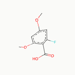 COc1cc(F)c(C(=O)O)c(OC)c1